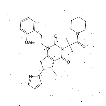 COc1ccccc1CCn1c(=O)n(C(C)(C)C(=O)N2CCCCC2)c(=O)c2c(C)c(-n3cccn3)sc21